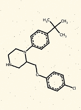 CC(C)(C)c1ccc(N2CCNCC2COc2ccc(Cl)cc2)cc1